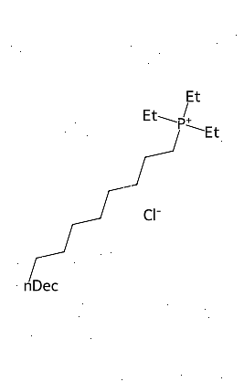 CCCCCCCCCCCCCCCCCC[P+](CC)(CC)CC.[Cl-]